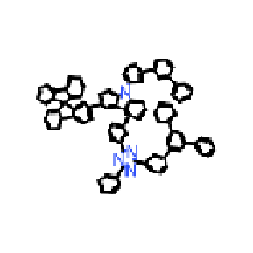 c1ccc(-c2cccc(-c3cccc(-n4c5ccc(-c6ccc7c(c6)C6(c8ccccc8-c8ccccc86)c6ccccc6-7)cc5c5c(-c6cccc(-c7nc(-c8ccccc8)nc(-c8cccc(-c9cc(-c%10ccccc%10)cc(-c%10ccccc%10)c9)c8)n7)c6)cccc54)c3)c2)cc1